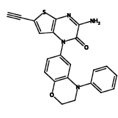 C#Cc1cc2c(nc(N)c(=O)n2-c2ccc3c(c2)N(c2ccccc2)CCO3)s1